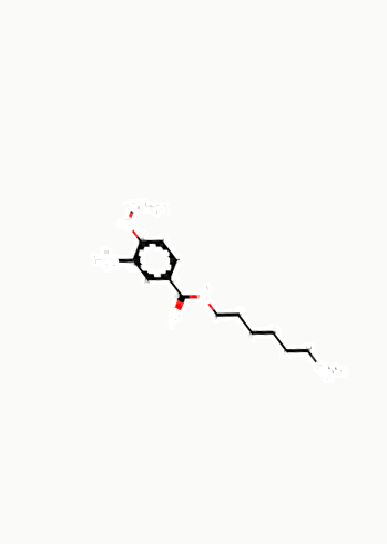 CCCCCCCOc1ccc(C(=O)OCCCCCCOC)cc1C